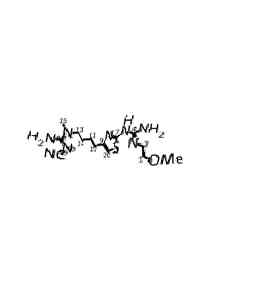 COCCN=C(N)Nc1nc(CCCCN(C)C(N)=NC#N)cs1